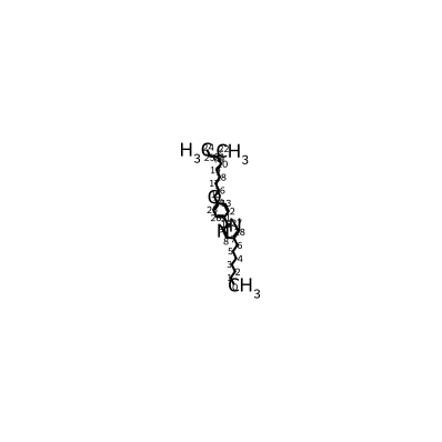 CCCCCCCc1cnc(-c2ccc(OCCCCC[C@@H](C)CC)cc2)nc1